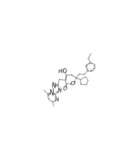 CCc1cccc(CCC2(C3CCCC3)CC(O)=C(Cc3nc4nc(C)cc(C)n4n3)C(=O)O2)c1